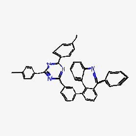 Cc1ccc(-c2nc(-c3ccc(C)cc3)nc(-c3cccc(-c4cccc5c(-c6ccccc6)nc6ccccc6c45)c3)n2)cc1